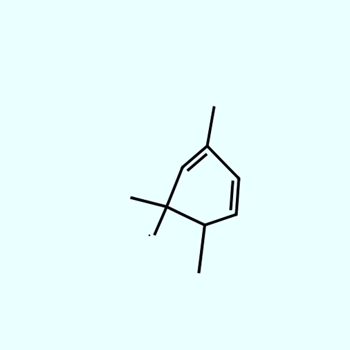 [CH2]C1(C)C=C(C)C=CC1C